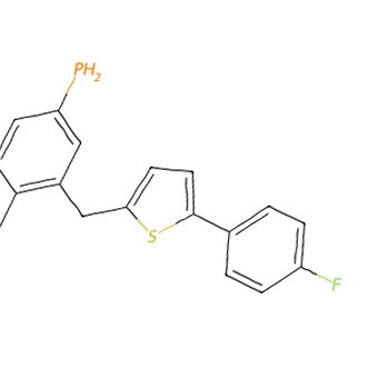 Cc1ccc(P)cc1Cc1ccc(-c2ccc(F)cc2)s1